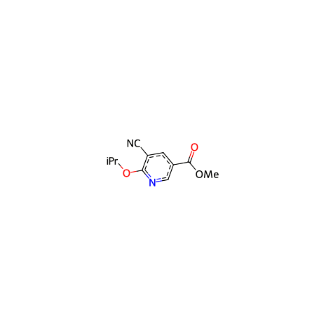 COC(=O)c1cnc(OC(C)C)c(C#N)c1